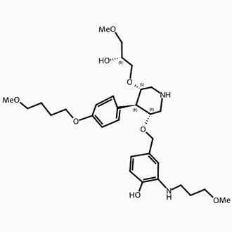 COCCCCOc1ccc([C@@H]2[C@@H](OCc3ccc(O)c(NCCCOC)c3)CNC[C@H]2OC[C@H](O)COC)cc1